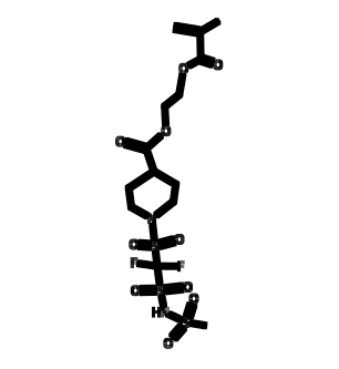 C=C(C)C(=O)OCCOC(=O)C1CCN(S(=O)(=O)C(F)(F)S(=O)(=O)NS(C)(=O)=O)CC1